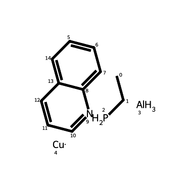 CCP.[AlH3].[Cu].c1ccc2ncccc2c1